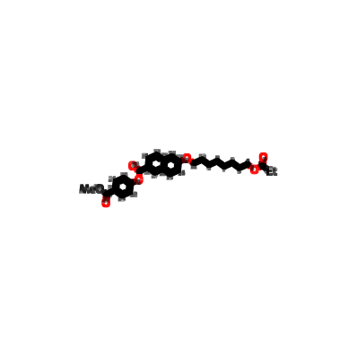 CCC(=O)OCCCCCCCCOc1ccc2cc(C(=O)Oc3ccc(C(=O)OC)cc3)ccc2c1